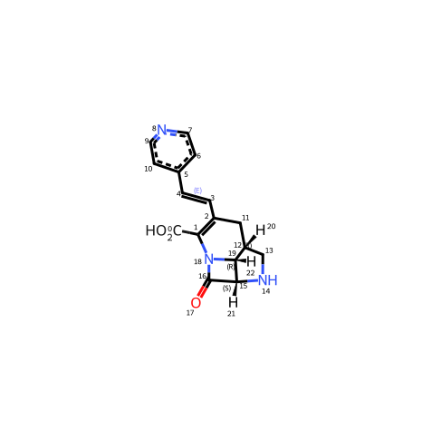 O=C(O)C1=C(/C=C/c2ccncc2)C[C@@H]2CN[C@@H]3C(=O)N1[C@H]23